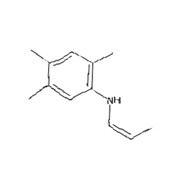 C/C=C\Nc1cc(C)c(C)cc1C